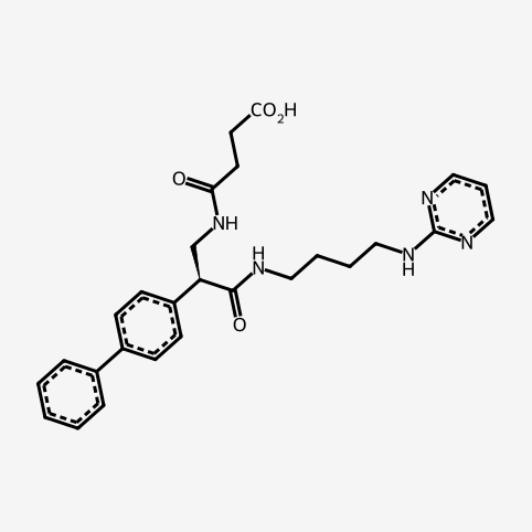 O=C(O)CCC(=O)NC[C@@H](C(=O)NCCCCNc1ncccn1)c1ccc(-c2ccccc2)cc1